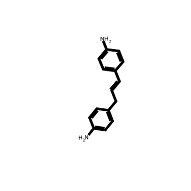 Nc1ccc(C=CCc2ccc(N)cc2)cc1